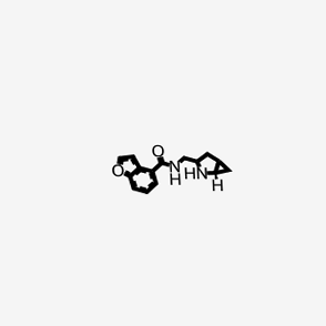 O=C(NCC1CC2C[C@@H]2N1)c1cccc2occc12